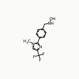 Cn1cc(C(F)(F)F)nc1-c1ccc(CNO)cc1